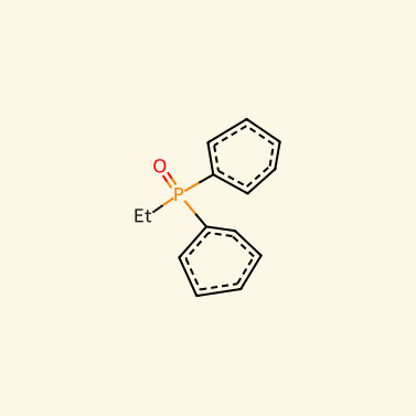 [CH2]CP(=O)(c1ccccc1)c1ccccc1